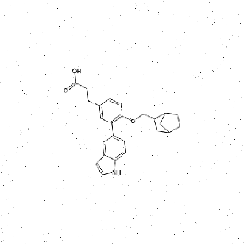 O=C(O)CCc1ccc(OCC2CC3CCC2C3)c(-c2ccc3[nH]ccc3c2)c1